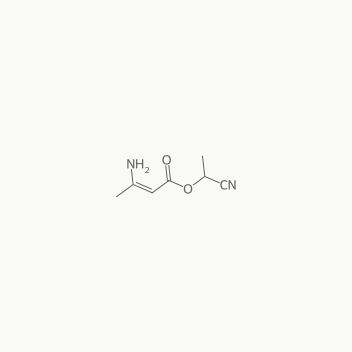 CC(N)=CC(=O)OC(C)C#N